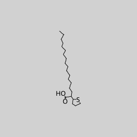 CCCCCCCCCCCCCCCCC(C(=O)O)C1CCCS1